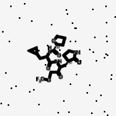 O=C(COC(F)(F)F)C(C[C@@H]1CCNC1=O)NC(=O)C(CC1CC1)NC(=O)[C@H]1CCCO1